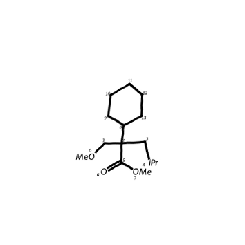 COCC(CC(C)C)(C(=O)OC)C1CCCCC1